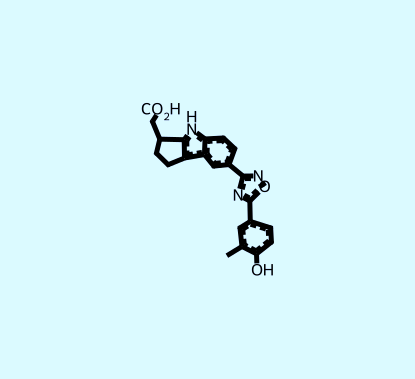 Cc1cc(-c2nc(-c3ccc4[nH]c5c(c4c3)CCC5CC(=O)O)no2)ccc1O